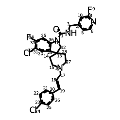 O=C(NCc1ccnc(F)c1)N1CC2(CCN(C/C=C/c3ccc(Cl)cc3)CC2)c2cc(Cl)c(F)cc21